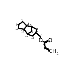 C=CC(=O)OCC1CC2CC(C1)C1CCCC21